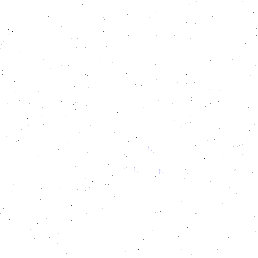 c1ccc(-c2nc(-c3ccc4ccc(-c5ccc6ccc7ccccc7c6c5)cc4c3)nc(-c3cccc4oc5ccccc5c34)n2)cc1